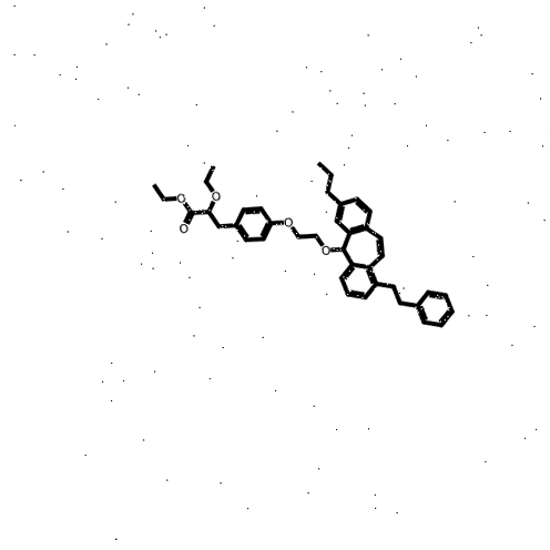 CCCc1ccc2c(c1)C(OCCOc1ccc(CC(OCC)C(=O)OCC)cc1)c1cccc(CCc3ccccc3)c1C=C2